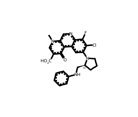 Cn1cc(C(=O)O)c(=O)c2c3cc(N4CCC[C@H]4CNc4ccccc4)c(Cl)c(F)c3ncc21